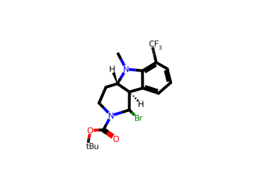 CN1c2c(cccc2C(F)(F)F)[C@H]2C(Br)N(C(=O)OC(C)(C)C)CC[C@@H]21